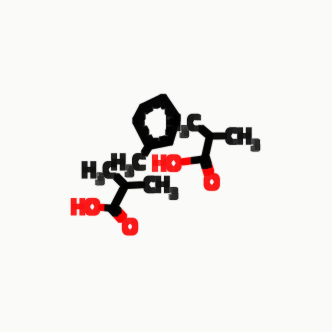 CC(C)C(=O)O.CC(C)C(=O)O.Cc1ccccc1